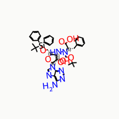 CC(C)(C)OC(=O)N(N[C@H]1[C@@H](O)[C@H](n2cnc3c(N)ncnc32)O[C@@H]1CO[Si](c1ccccc1)(c1ccccc1)C(C)(C)C)[C@@H](Cc1ccccc1)C(=O)O